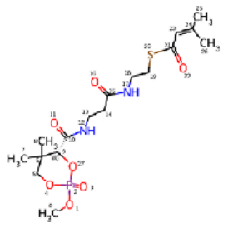 COP1(=O)OCC(C)(C)[C@H](C(=O)NCCC(=O)NCCSC(=O)C=C(C)C)O1